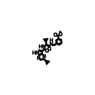 COC(=O)c1cccc(CNC(=O)[C@H](NC(=O)c2c[nH]c3ncc(C4CC4)nc23)C2CC2)c1